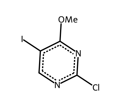 COc1nc(Cl)ncc1I